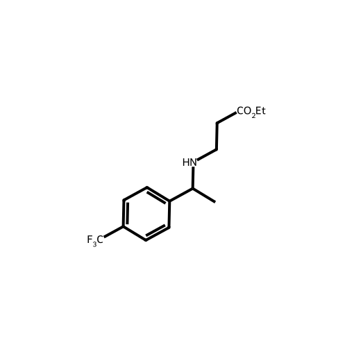 CCOC(=O)CCNC(C)c1ccc(C(F)(F)F)cc1